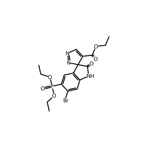 CCOC(=O)C1=CN=NC12C(=O)Nc1cc(Br)c(P(=O)(OCC)OCC)cc12